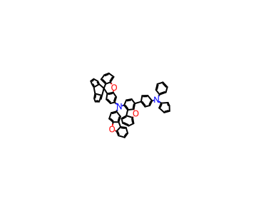 c1ccc(N(c2ccccc2)c2ccc(-c3ccc(N(c4ccc5c(c4)Oc4ccccc4C54c5ccccc5-c5ccccc54)c4ccc5oc6ccccc6c5c4)c4c3oc3ccccc34)cc2)cc1